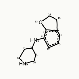 c1cc2c(c(NC3CCNCC3)c1)OCC2